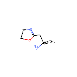 C=C(N)CC1=NCCO1